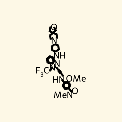 CNC(=O)c1ccc(NCC#Cc2nc3c(NC4CCC(N5CCC6(CCOC6)CC5)CC4)cccc3n2CC(F)(F)F)c(OC)c1